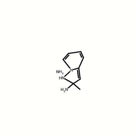 CC1(N)C=C2C=CC=CN2N1.N